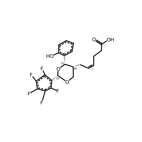 O=C(O)CC/C=C\C[C@@H]1CO[C@H](c2c(F)c(F)c(F)c(F)c2F)O[C@@H]1c1ccccc1O